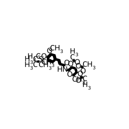 COc1cc(/C=C/C(=O)NC2OC(C)[C@@H](OC(C)=O)C(OC(C)=O)C2OC(C)=O)ccc1O[Si](C)(C)C(C)(C)C